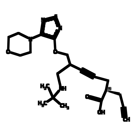 C#CC[C@@H](CC#CC(CNC(C)(C)C)COc1nsnc1N1CCOCC1)C(=O)O